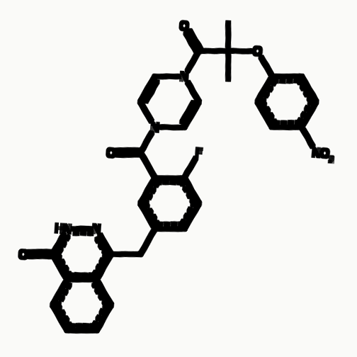 CC(C)(Oc1ccc([N+](=O)[O-])cc1)C(=O)N1C=CN(C(=O)c2cc(Cc3n[nH]c(=O)c4ccccc34)ccc2F)C=C1